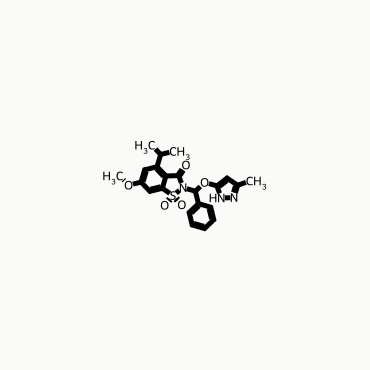 COc1cc(C(C)C)c2c(c1)S(=O)(=O)N(C(Oc1cc(C)n[nH]1)c1ccccc1)C2=O